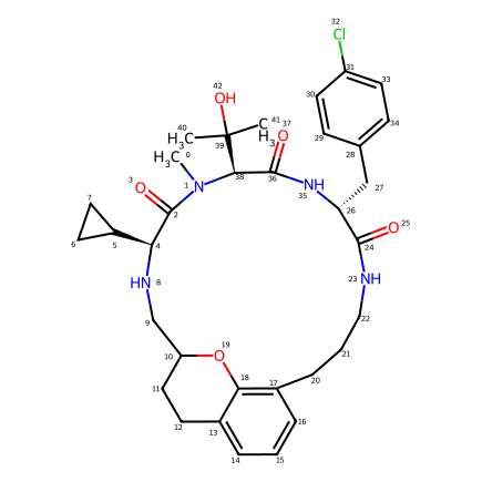 CN1C(=O)[C@H](C2CC2)NCC2CCc3cccc(c3O2)CCCNC(=O)[C@@H](Cc2ccc(Cl)cc2)NC(=O)[C@@H]1C(C)(C)O